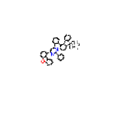 CC1(C)c2ccccc2-c2c(-c3ccccc3-c3cc(-c4cccc5oc6ccccc6c45)nc(-c4ccccc4)n3)cccc21